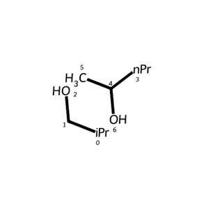 CC(C)CO.CCCC(C)O